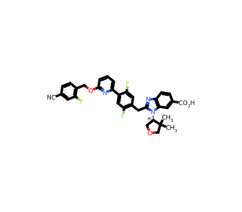 CC1(C)COC[C@@H]1n1c(Cc2cc(F)c(-c3cccc(OCc4ccc(C#N)cc4F)n3)cc2F)nc2ccc(C(=O)O)cc21